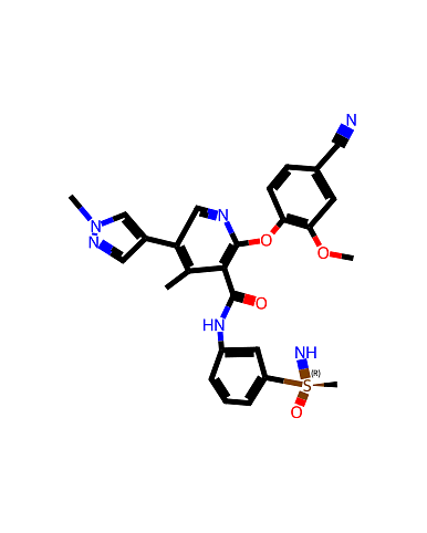 COc1cc(C#N)ccc1Oc1ncc(-c2cnn(C)c2)c(C)c1C(=O)Nc1cccc([S@](C)(=N)=O)c1